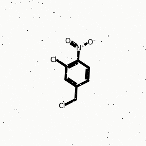 O=[N+]([O-])c1ccc(CCl)cc1Cl